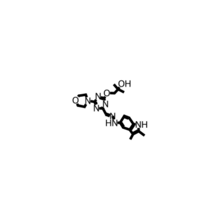 Cc1[nH]c2ccc(N/N=C/c3nc(OCC(C)(C)O)nc(N4CCOCC4)n3)cc2c1C